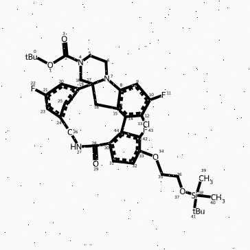 CC(C)(C)OC(=O)N1CCN2c3cc(F)c(Cl)c4c3CC2(C1)c1cc(F)cc(c1)CNC(=O)c1ccc(OCCO[Si](C)(C)C(C)(C)C)c(F)c1-4